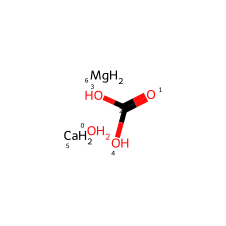 O.O=C(O)O.[CaH2].[MgH2]